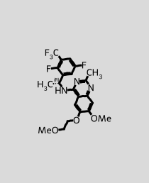 COCCOc1cc2c(N[C@H](C)c3cc(F)cc(C(F)(F)F)c3F)nc(C)nc2cc1OC